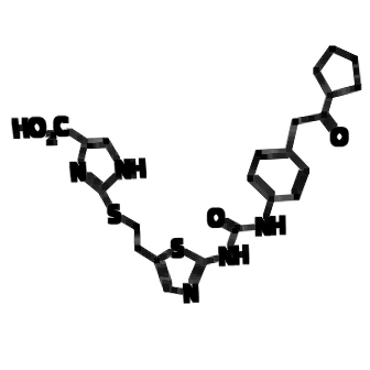 O=C(Nc1ccc(CC(=O)C2CCCC2)cc1)Nc1ncc(CCSc2nc(C(=O)O)c[nH]2)s1